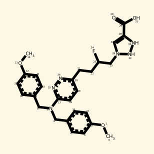 COc1ccc(CN(Cc2ccc(OC)cc2)c2ccc(CCC(F)CN3C=C(C(=O)O)NN3)nn2)cc1